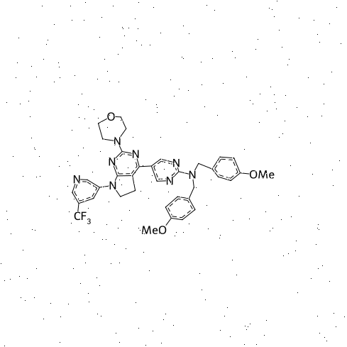 COc1ccc(CN(Cc2ccc(OC)cc2)c2ncc(-c3nc(N4CCOCC4)nc4c3CCN4c3cncc(C(F)(F)F)c3)cn2)cc1